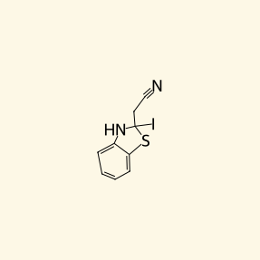 N#CCC1(I)Nc2ccccc2S1